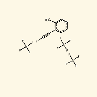 Cc1ccccc1C#[C][K].F[B-](F)(F)F.F[B-](F)(F)F.F[B-](F)(F)F